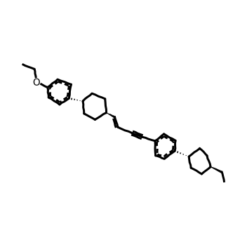 CCOc1ccc([C@H]2CC[C@H](/C=C/C#Cc3ccc([C@H]4CC[C@H](CC)CC4)cc3)CC2)cc1